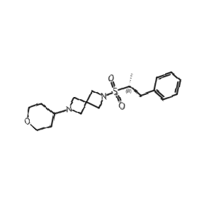 C[C@H](Cc1ccccc1)S(=O)(=O)N1CC2(CN(C3CCOCC3)C2)C1